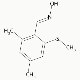 CSc1cc(C)cc(C)c1/C=N/O